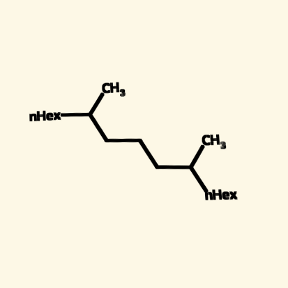 CCCCCCC(C)CCCC(C)CCCCCC